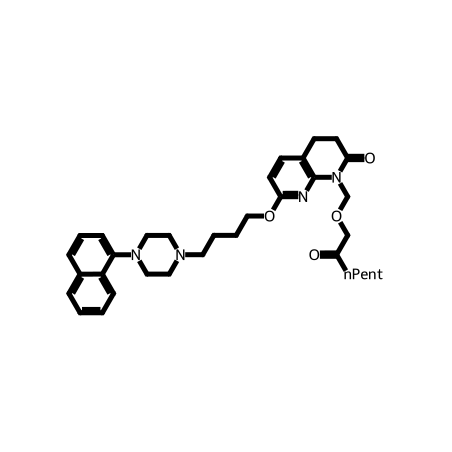 CCCCCC(=O)COCN1C(=O)CCc2ccc(OCCCCN3CCN(c4cccc5ccccc45)CC3)nc21